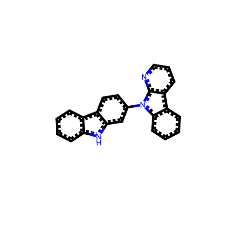 c1ccc2c(c1)[nH]c1cc(-n3c4ccccc4c4cccnc43)ccc12